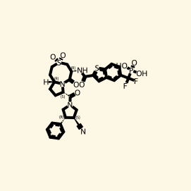 N#C[C@@H]1CN(C(=O)[C@@H]2CC[C@@H]3CCS(=O)(=O)C[C@H](NC(=O)c4cc5cc(C(F)(F)P(=O)(O)O)ccc5s4)C(=O)N32)C[C@H]1c1ccccc1